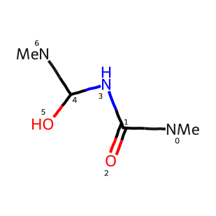 CNC(=O)NC(O)NC